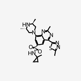 Cc1nc(-c2nnc(C)s2)c2cc(S(=O)(=O)NC3(C)CC3)cc(N3C[C@H](C)N[C@@H](C)C3)c2n1